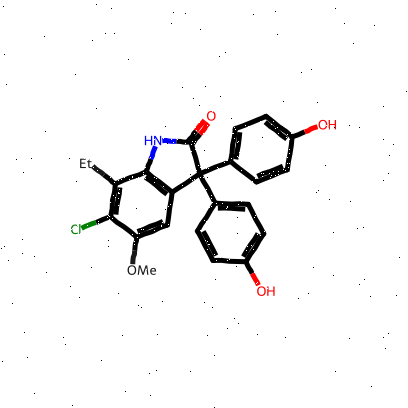 CCc1c(Cl)c(OC)cc2c1NC(=O)C2(c1ccc(O)cc1)c1ccc(O)cc1